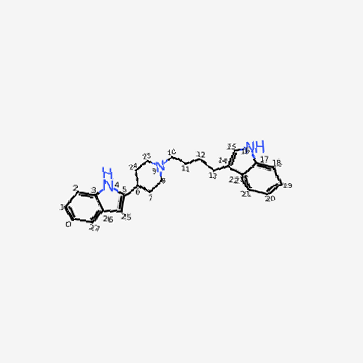 c1ccc2[nH]c(C3CCN(CCCCc4c[nH]c5ccccc45)CC3)cc2c1